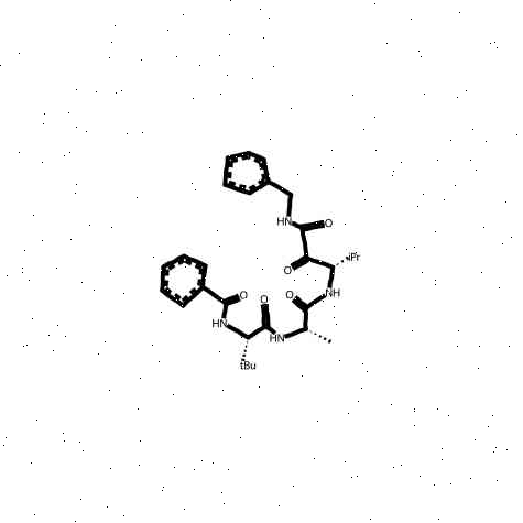 CC(C)[C@H](NC(=O)[C@H](C)NC(=O)[C@@H](NC(=O)c1ccccc1)C(C)(C)C)C(=O)C(=O)NCc1ccccc1